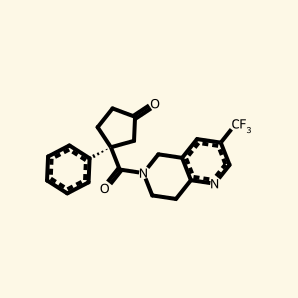 O=C1CC[C@@](C(=O)N2CCc3ncc(C(F)(F)F)cc3C2)(c2ccccc2)C1